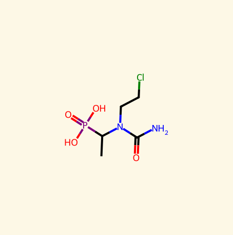 CC(N(CCCl)C(N)=O)P(=O)(O)O